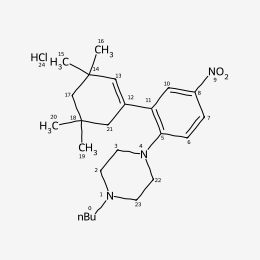 CCCCN1CCN(c2ccc([N+](=O)[O-])cc2C2=CC(C)(C)CC(C)(C)C2)CC1.Cl